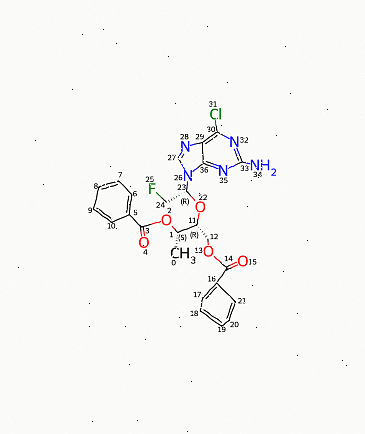 C[C@H](OC(=O)c1ccccc1)[C@@H](COC(=O)c1ccccc1)O[C@H](CF)n1cnc2c(Cl)nc(N)nc21